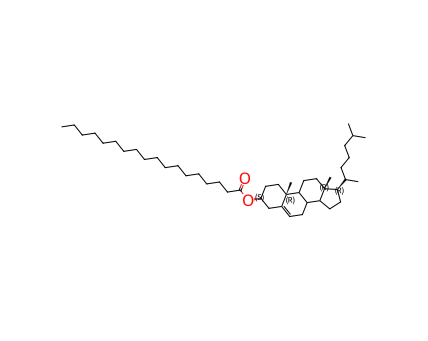 CCCCCCCCCCCCCCCCCC(=O)O[C@H]1CC[C@@]2(C)C(=CCC3C2CC[C@@]2(C)C3CC[C@@H]2C(C)CCCC(C)C)C1